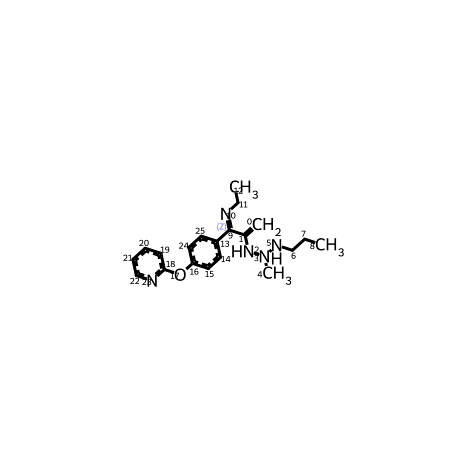 C=C(NN(C)NCCC)/C(=N\CC)c1ccc(Oc2ccccn2)cc1